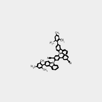 Cc1cc(C)c(-c2ccc3c(c2)c2ccccc2n3-c2cc(-c3cccc(C#N)c3)c(-n3c4ccccc4c4cc(-c5c(C)cc(C)cc5C)ccc43)cc2C#N)c(C)c1